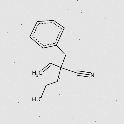 C=CC(C#N)(CCC)Cc1ccccc1